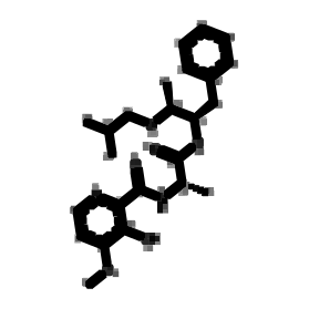 COc1ccnc(C(=O)N[C@@H](C)C(=O)O[C@H](Cc2ccccc2)[C@H](C)OCC(C)C)c1O